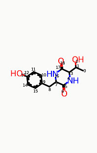 CC(O)C1NC(=O)C(Cc2ccc(O)cc2)NC1=O